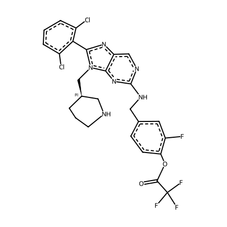 O=C(Oc1ccc(CNc2ncc3nc(-c4c(Cl)cccc4Cl)n(C[C@@H]4CCCNC4)c3n2)cc1F)C(F)(F)F